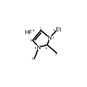 CCN1C=CN(C)C1C.F